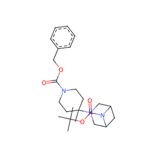 CC(C)(C)OC(=O)N1C2CC1CN(C1(C)CCN(C(=O)OCc3ccccc3)CC1)C2